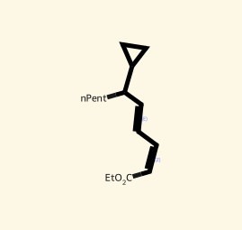 CCCCCC(/C=C/C=C\C(=O)OCC)C1CC1